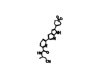 CC(CC#N)NC(=O)c1cccc(-c2cnc3[nH]c(C4=CCS(=O)(=O)CC4)cc3c2)n1